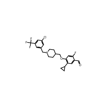 O=[C]c1cc(C2CC2)c(OCC2CCN(Cc3cc(Cl)cc(C(F)(F)F)c3)CC2)cc1F